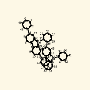 c1ccc(-c2ccc3c4ccc(-c5ccccc5)cc4n(-c4ccccc4-c4ccc5c6ccccc6n(-c6ccccc6)c5c4)c3c2)cc1